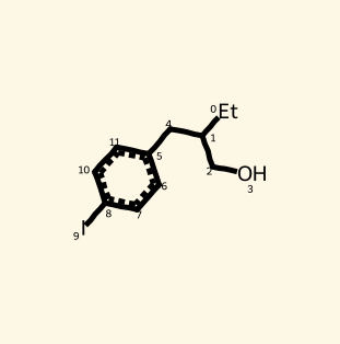 CCC(CO)Cc1ccc(I)cc1